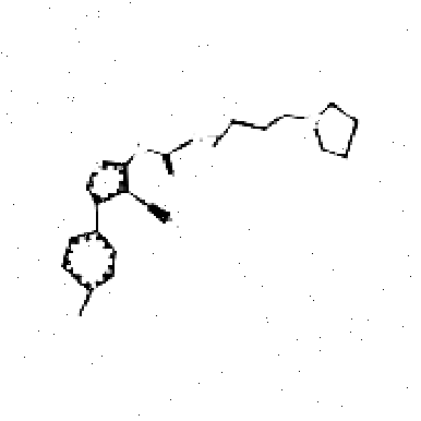 Cc1ccc(-c2csc(NC(=O)NCCCCN3CCCC3)c2C#N)cc1